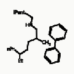 CCCC(C)CNCC(C)CCC(CC)CCC.c1ccc(-c2ccccc2)cc1